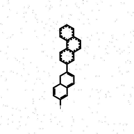 IC1=CC2=CC=C(c3ccc4c(ccc5ccccc54)c3)CC2C=C1